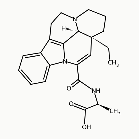 CC[C@@]12C=C(C(=O)N[C@@H](C)C(=O)O)n3c4c(c5ccccc53)CCN(CCC1)[C@H]42